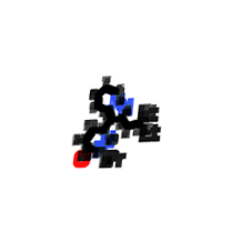 CCC(=Cc1nn2ccccc2c1-c1ccc(=O)n(C(C)C)n1)CC